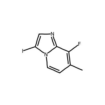 Cc1ccn2c(I)cnc2c1F